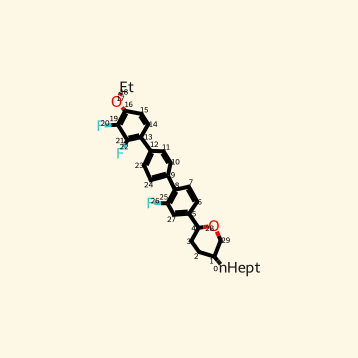 CCCCCCCC1CCC(c2ccc(-c3ccc(-c4ccc(OCC)c(F)c4F)cc3)c(F)c2)OC1